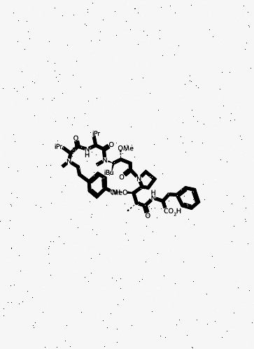 CC[C@H](C)[C@@H]([C@@H](CC(=O)N1CCCC1[C@H](OC)[C@@H](C)C(=O)NC(Cc1ccccc1)C(=O)O)OC)N(C)C(=O)C(NC(=O)C(C(C)C)N(C)CCc1ccc(O)cc1)C(C)C